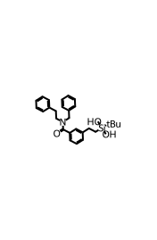 CC(C)(C)[Si](O)(O)CCc1cccc(C(=O)N(CCc2ccccc2)Cc2ccccc2)c1